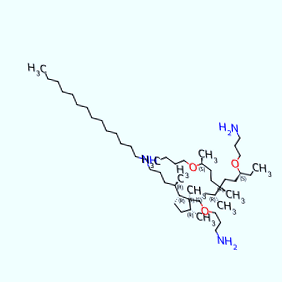 CCCCCCCCCCCCCCNCCC[C@@H](C)[C@H]1CC[C@@H](C)[C@]1(C)[C@H](C[C@@H](C)[C@@](C)(CC[C@H](CC)OCCCN)CC[C@H](C)OCCCC)OCCCN